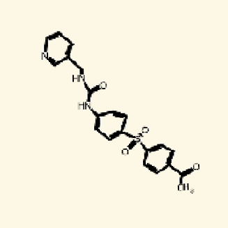 CC(=O)c1ccc(S(=O)(=O)c2ccc(NC(=O)NCc3cccnc3)cc2)cc1